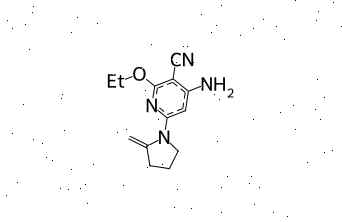 C=C1CCCN1c1cc(N)c(C#N)c(OCC)n1